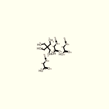 CCC(CO)(CO)CO.O=C(O)CN=S.O=C(O)CN=S.O=C(O)CN=S